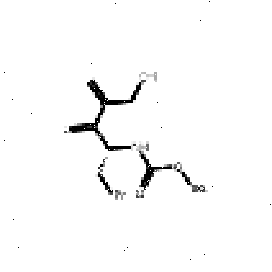 C=C(CO)C(=O)[C@@H](CC(C)C)NC(=O)OC(C)(C)C